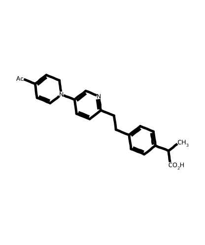 CC(=O)C1=CCN(c2ccc(CCc3ccc(C(C)C(=O)O)cc3)nc2)C=C1